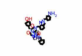 CN1CC(=O)N2[C@@H](Cc3ccc(O)cc3)C(=O)N(Cc3cccc4cn(Cc5cccc(N)c5)nc34)C[C@@H]2N1C(=O)NCc1ccccc1